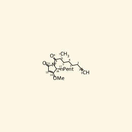 C#CCCCC[C@@H](C)C(=O)N1C(=O)C=C(OC)[C@@H]1CCCCC